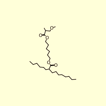 CCCCCCCCC(CCCCCC)C(=O)OCCCCCCOC(=O)C(C)COC